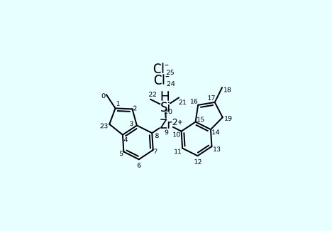 CC1=Cc2c(ccc[c]2[Zr+2]([c]2cccc3c2C=C(C)C3)[SiH](C)C)C1.[Cl-].[Cl-]